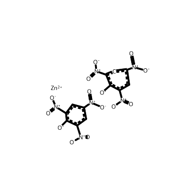 O=[N+]([O-])c1cc([N+](=O)[O-])c([O-])c([N+](=O)[O-])c1.O=[N+]([O-])c1cc([N+](=O)[O-])c([O-])c([N+](=O)[O-])c1.[Zn+2]